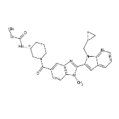 Cn1c(-c2cc3cccnc3n2CC2CC2)nc2cc(C(=O)N3CCC[C@@H](NC(=O)OC(C)(C)C)C3)ccc21